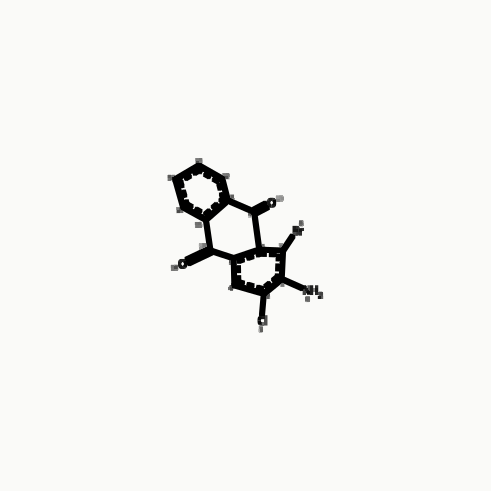 Nc1c(Cl)cc2c(c1Br)C(=O)c1ccccc1C2=O